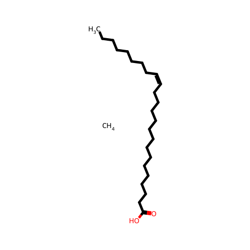 C.CCCCCCCC/C=C\CCCCCCCCCCCCCC(=O)O